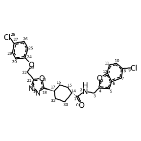 O=C(NCc1cc2cc(Cl)ccc2o1)[C@H]1CC[C@H](c2nnc(COc3ccc(Cl)cc3)o2)CC1